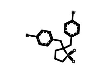 O=S1(=O)CCCC1(Cc1ccc(Br)cc1)Cc1ccc(Br)cc1